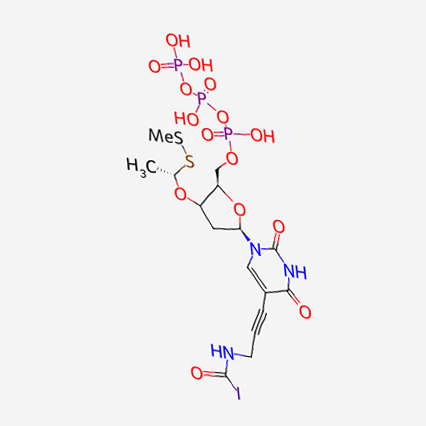 CSS[C@@H](C)OC1C[C@H](n2cc(C#CCNC(=O)I)c(=O)[nH]c2=O)O[C@@H]1COP(=O)(O)OP(=O)(O)OP(=O)(O)O